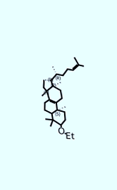 CCOC1CC[C@]2(C)C3=C(CCC2C1(C)C)[C@]1(C)CC[C@H]([C@H](C)CCC=C(C)C)[C@@]1(C)CC3